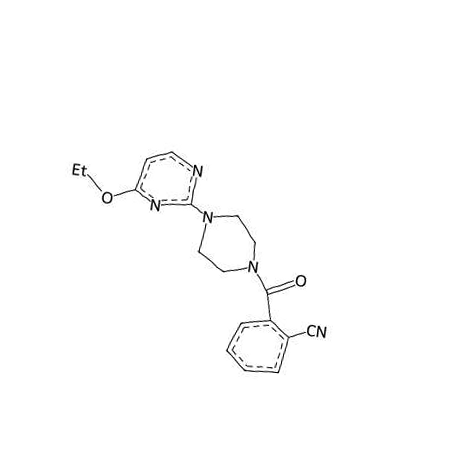 CCOc1ccnc(N2CCN(C(=O)c3ccccc3C#N)CC2)n1